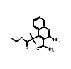 CCOC(=O)C(C)(C)c1c(C(N)=O)c(N)cc2ccccc12